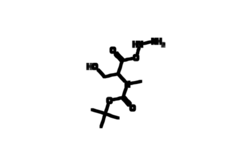 CN(C(=O)OC(C)(C)C)C(CO)C(=O)ONN